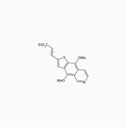 CCOC(=O)/C=C/c1cc2c(OC)c3cnccc3c(OC)c2s1